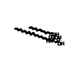 CCCCCCCCCCCCCCCCCC(=O)N[C@@H](CC(=O)O)C(=O)O.CCCCCCCCCCCCO